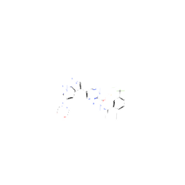 CC(NC(=O)c1ncc(-c2c[nH]c3ncc(N4CCOCC4)cc23)cn1)c1cccc(C(F)(F)F)c1